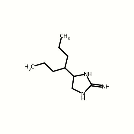 CCCC(CCC)C1CNC(=N)N1